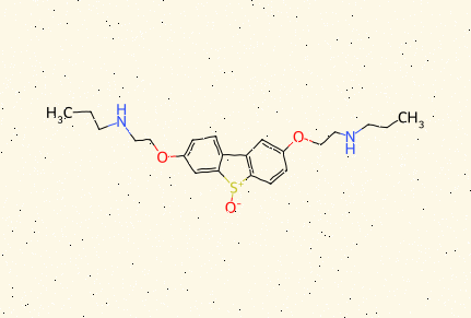 CCCNCCOc1ccc2c(c1)c1ccc(OCCNCCC)cc1[s+]2[O-]